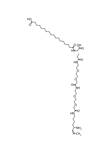 C/N=C\C(N)CCCCNC(=O)COCCOCCNC(=O)COCCOCCNC(=O)CC[C@H](NC(=O)CCCCCCCCCCCCCCCCC(=O)O)C(=O)O